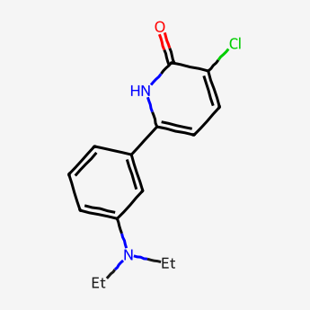 CCN(CC)c1cccc(-c2ccc(Cl)c(=O)[nH]2)c1